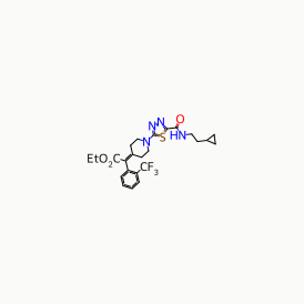 CCOC(=O)C(=C1CCN(c2nnc(C(=O)NCCC3CC3)s2)CC1)c1ccccc1C(F)(F)F